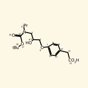 CC(C)N(CC(O)COc1ccc(CC(=O)O)cc1)C(=O)OC(C)(C)C